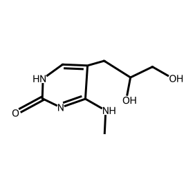 CNc1nc(=O)[nH]cc1CC(O)CO